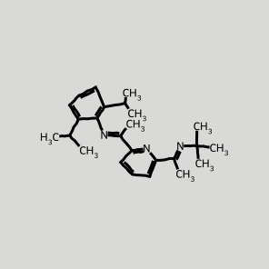 CC(=Nc1c(C(C)C)cccc1C(C)C)c1cccc(C(C)=NC(C)(C)C)n1